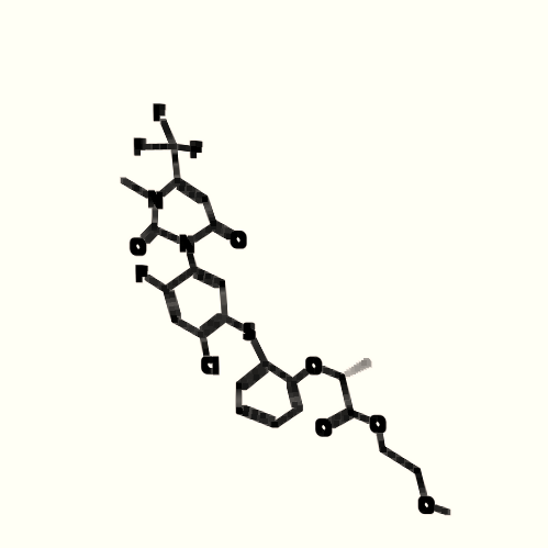 COCCOC(=O)[C@@H](C)Oc1ccccc1Sc1cc(-n2c(=O)cc(C(F)(F)F)n(C)c2=O)c(F)cc1Cl